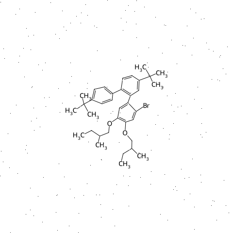 CCC(C)COc1cc(Br)c(-c2cc(C(C)(C)C)ccc2-c2ccc(C(C)(C)C)cc2)cc1OCC(C)CC